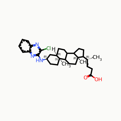 C[C@H](CCC(=O)O)C1CCC2C3CC[C@@H]4C[C@H](Nc5nc6ccccc6nc5Cl)CC[C@]4(C)C3CC[C@@]21C